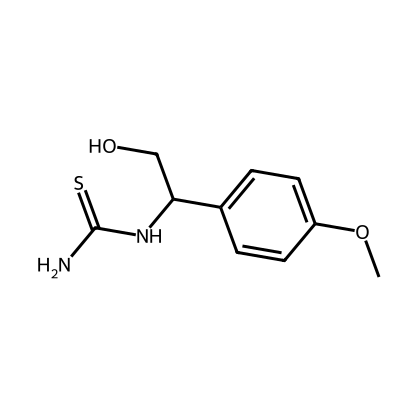 COc1ccc(C(CO)NC(N)=S)cc1